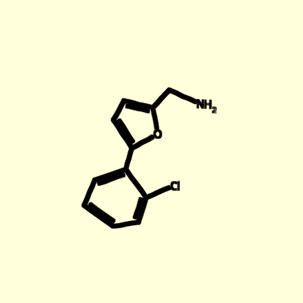 NCc1ccc(-c2ccccc2Cl)o1